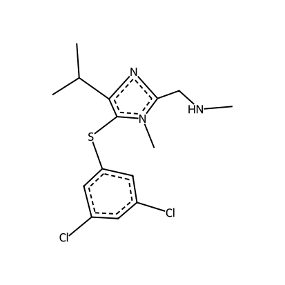 CNCc1nc(C(C)C)c(Sc2cc(Cl)cc(Cl)c2)n1C